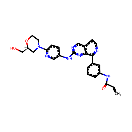 C=CC(=O)Nc1cccc(-c2nccc3cnc(Nc4ccc(N5CCO[C@H](CO)C5)nc4)nc23)c1